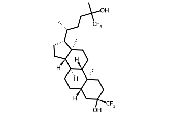 C[C@H](CCC(C)(O)C(F)(F)F)[C@H]1CC[C@H]2[C@@H]3CC[C@H]4C[C@](O)(C(F)(F)F)CC[C@]4(C)[C@H]3CC[C@]12C